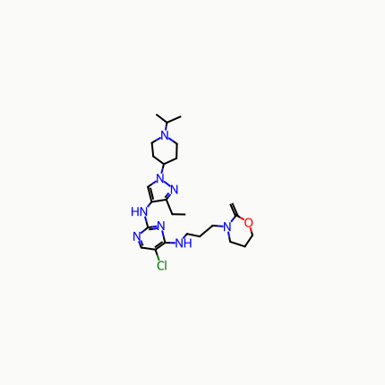 C=C1OCCCN1CCCNc1nc(Nc2cn(C3CCN(C(C)C)CC3)nc2CC)ncc1Cl